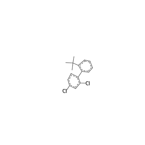 CC(C)(C)c1ccccc1-c1ccc(Cl)cc1Cl